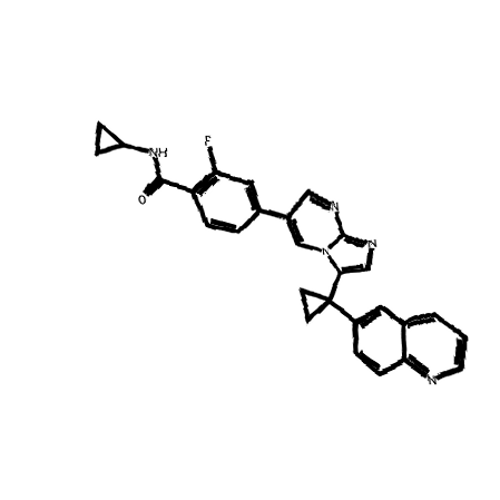 O=C(NC1CC1)c1ccc(-c2cnc3ncc(C4(c5ccc6ncccc6c5)CC4)n3c2)cc1F